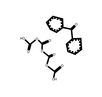 O=C(O)OC(=O)OC(=O)OC(=O)O.O=C(c1ccccc1)c1ccccc1